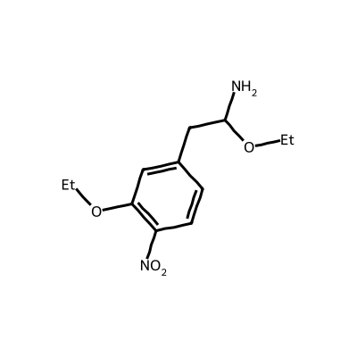 CCOc1cc(CC(N)OCC)ccc1[N+](=O)[O-]